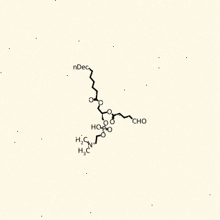 C=[N+](C)CCOP(=O)(O)OC[C@@H](COC(=O)CCCCCCCCCCCCCCC)OC(=O)CCCC=O